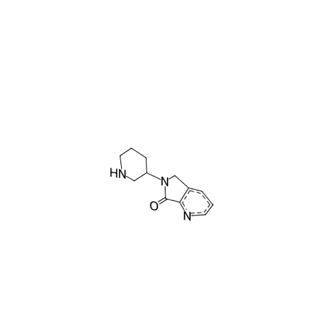 O=C1c2ncccc2CN1C1CCCNC1